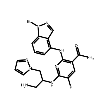 CCn1ncc2c(Nc3nc(NC(CN)Cn4cccn4)c(F)cc3C(N)=O)cccc21